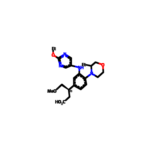 CCOc1ncc(Nc2cc([C@H](COC)CC(=O)O)ccc2N2CCOCC2CC)cn1